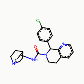 O=C(NC1CN2CCC1CC2)N1CCc2cccnc2C1c1ccc(Cl)cc1